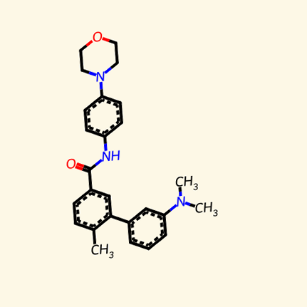 Cc1ccc(C(=O)Nc2ccc(N3CCOCC3)cc2)cc1-c1cccc(N(C)C)c1